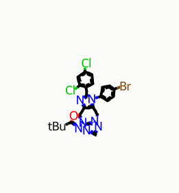 CC(C)(C)c1nnc(-c2nc(-c3ccc(Cl)cc3Cl)n(-c3ccc(Br)cc3)c2Cn2cncn2)o1